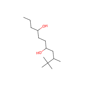 CCCC(O)CCC(O)CC(C)C(C)(C)C